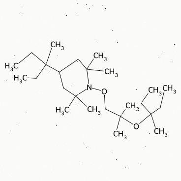 CCC(C)(CC)OC(C)(C)CON1C(C)(C)CC(C(C)(CC)CC)CC1(C)C